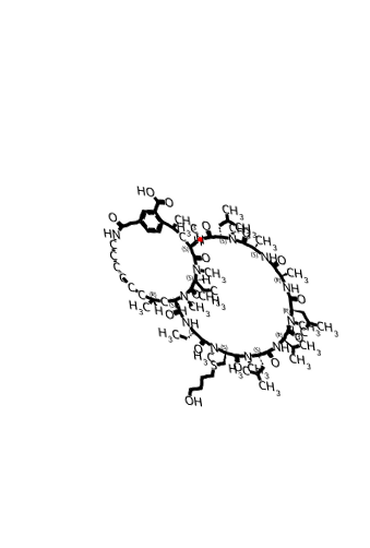 CC[C@@H]1NC(=O)[C@@H]2C[C@H](C)CCCCCCNC(=O)c3ccc(c(C(=O)O)c3)C(C)C[C@@H](C(=O)N(C)[C@@H](C(C)C)C(=O)N2C)N(C)C(=O)[C@H](CC(C)C)N(C)C(=O)[C@H](C)NC(=O)[C@@H](C)NC(=O)[C@@H](CC(C)C)N(C)C(=O)[C@@H](C(C)C)NC(=O)[C@H](CC(C)C)N(C)C(=O)[C@@H](CSCCCCO)N(C)C1=O